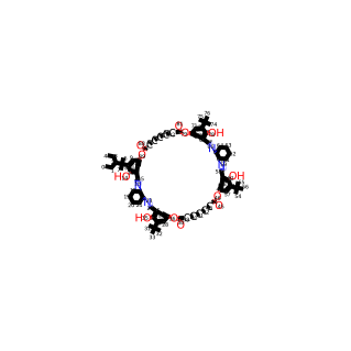 CCC(CC)C(C)(C)c1cc2cc(c1O)/C=N/C1CCCCC1/N=C/c1cc(cc(C(C)(C)C)c1O)OC(=O)CCCCCC(=O)Oc1cc(c(O)c(C(C)(C)C)c1)/C=N/C1CCCCC1/N=C/c1cc(cc(C(C)(C)C)c1O)OC(=O)CCCCCC(=O)O2